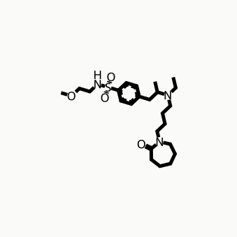 CCN(CCCCN1CCCCCC1=O)C(C)Cc1ccc(S(=O)(=O)NCCOC)cc1